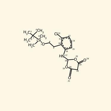 CC(C)(C)[Si](C)(C)OCCc1c(Cl)cccc1NC1OC(=O)CC(=O)O1